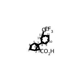 O=C(O)C1C2C=CC(C2)C1c1cccc(OC(F)(F)F)c1